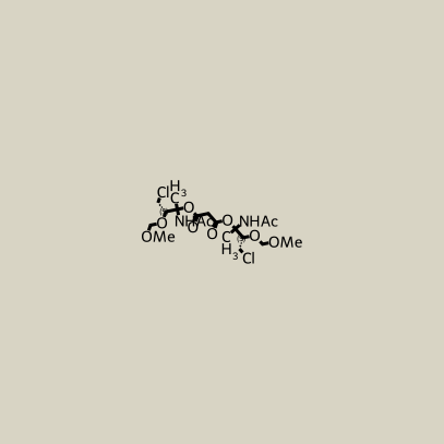 COCO[C@H](CCl)C(C)(NC(C)=O)OC(=O)CC(=O)OC(C)(NC(C)=O)[C@@H](CCl)OCOC